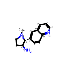 [2H]N1CCC(N)[C@H]1c1ccc2ncccc2c1